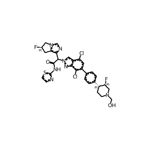 O=C(Nc1nccs1)C(c1ncn2c1C[C@@H](F)C2)n1cc2c(Cl)cc(-c3ccc([C@H]4CCN(CO)C[C@@H]4F)cc3)c(Cl)c2n1